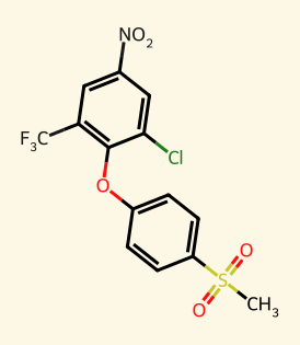 CS(=O)(=O)c1ccc(Oc2c(Cl)cc([N+](=O)[O-])cc2C(F)(F)F)cc1